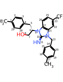 Cc1ccc(C[C@@H](CO)n2c(=N)n(Cc3ccc(C)cc3)c3cc(C(F)(F)F)ccc32)cc1